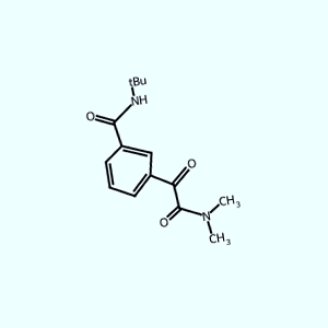 CN(C)C(=O)C(=O)c1cccc(C(=O)NC(C)(C)C)c1